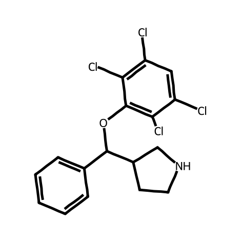 Clc1cc(Cl)c(Cl)c(OC(c2ccccc2)C2CCNC2)c1Cl